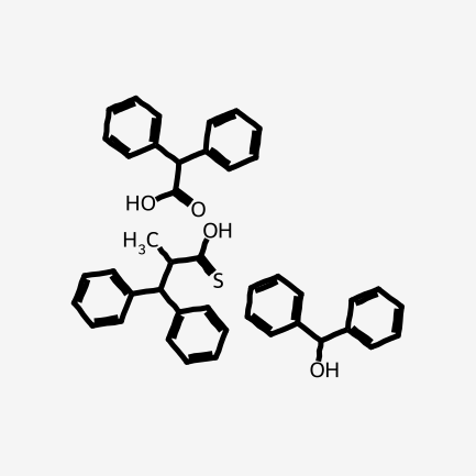 CC(C(O)=S)C(c1ccccc1)c1ccccc1.O=C(O)C(c1ccccc1)c1ccccc1.OC(c1ccccc1)c1ccccc1